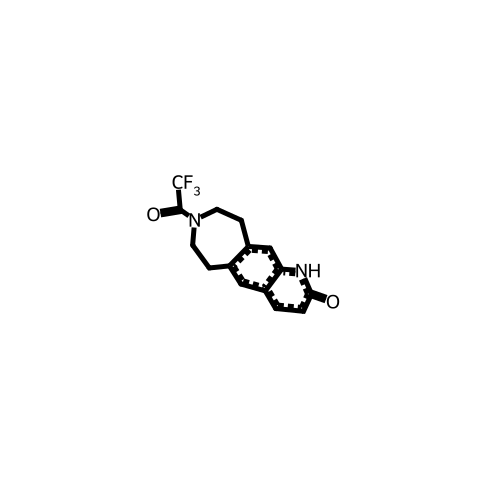 O=C(N1CCc2cc3ccc(=O)[nH]c3cc2CC1)C(F)(F)F